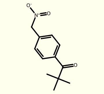 CC(C)(C)C(=O)c1ccc(C[N+](=O)[O-])cc1